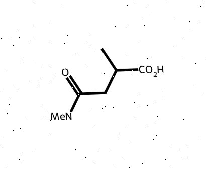 CNC(=O)CC(C)C(=O)O